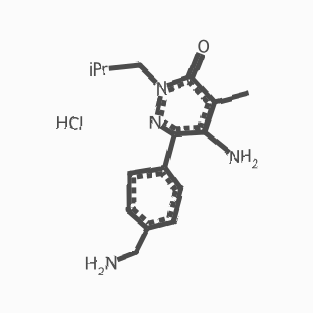 Cc1c(N)c(-c2ccc(CN)cc2)nn(CC(C)C)c1=O.Cl